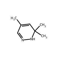 CC1=CC(C)(C)NN=C1